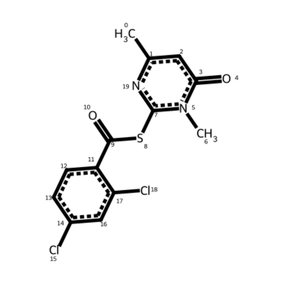 Cc1cc(=O)n(C)c(SC(=O)c2ccc(Cl)cc2Cl)n1